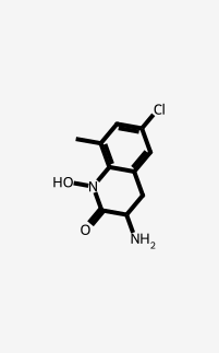 Cc1cc(Cl)cc2c1N(O)C(=O)C(N)C2